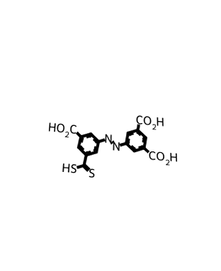 O=C(O)c1cc(/N=N/c2cc(C(=O)O)cc(C(=S)S)c2)cc(C(=O)O)c1